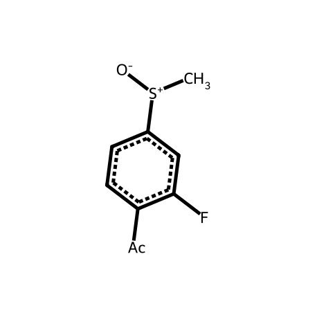 CC(=O)c1ccc([S+](C)[O-])cc1F